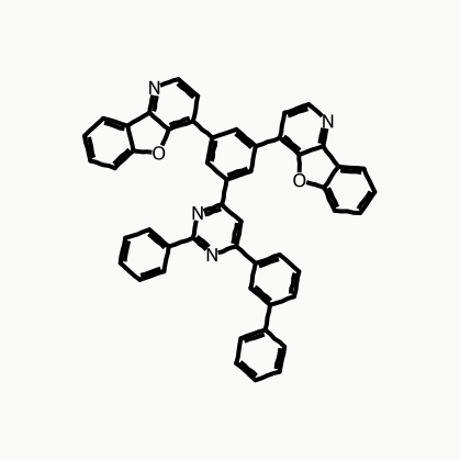 c1ccc(-c2cccc(-c3cc(-c4cc(-c5ccnc6c5oc5ccccc56)cc(-c5ccnc6c5oc5ccccc56)c4)nc(-c4ccccc4)n3)c2)cc1